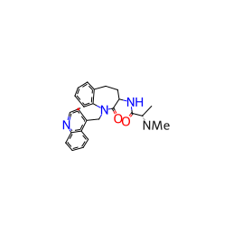 CN[C@@H](C)C(=O)NC1CCc2ccccc2N(Cc2c(C)cnc3ccccc23)C1=O